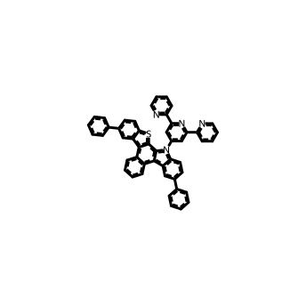 c1ccc(-c2ccc3sc4c(c3c2)c2ccccc2c2c3cc(-c5ccccc5)ccc3n(-c3cc(-c5ccccn5)nc(-c5ccccn5)c3)c42)cc1